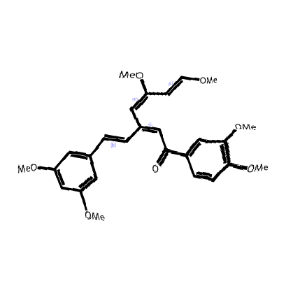 CO/C=C/C(=C\C(\C=C\c1cc(OC)cc(OC)c1)=C\C(=O)c1ccc(OC)c(OC)c1)OC